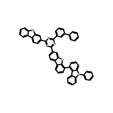 c1ccc(-c2cccc(-c3nc(-c4ccc5c(c4)oc4ccccc45)nc(-c4ccc5c(c4)oc4c(-c6cccc7c6c6ccccc6n7-c6ccccc6)cccc45)n3)c2)cc1